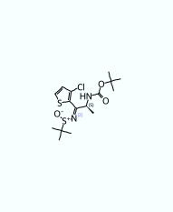 C[C@H](NC(=O)OC(C)(C)C)/C(=N/[S+]([O-])C(C)(C)C)c1sccc1Cl